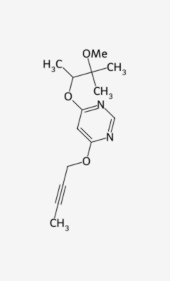 CC#CCOc1cc(OC(C)C(C)(C)OC)ncn1